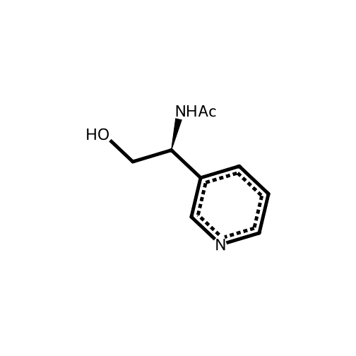 CC(=O)N[C@H](CO)c1cccnc1